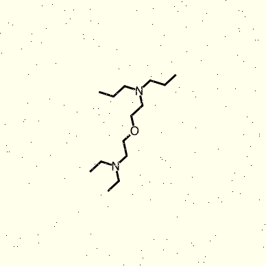 CCCN(CCC)CCOCCN(CC)CC